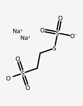 O=S(=O)([O-])CCSS(=O)(=O)[O-].[Na+].[Na+]